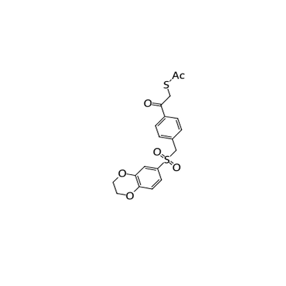 CC(=O)SCC(=O)c1ccc(CS(=O)(=O)c2ccc3c(c2)OCCO3)cc1